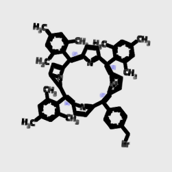 Cc1cc(C)c(/C2=C3\C=CC(=N3)/C(c3c(C)cc(C)cc3C)=c3/cc/c([nH]3)=C(\c3ccc(CBr)cc3)C3=N/C(=C(/c4c(C)cc(C)cc4C)C4C5C=C2N54)C=C3)c(C)c1